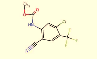 COC(=O)Nc1cc(Cl)c(C(F)(F)F)cc1C#N